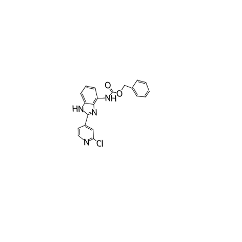 O=C(Nc1cccc2[nH]c(-c3ccnc(Cl)c3)nc12)OCc1ccccc1